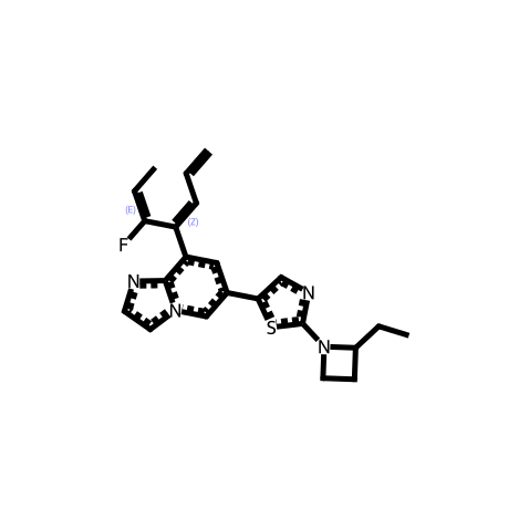 C=C/C=C(\C(F)=C/C)c1cc(-c2cnc(N3CCC3CC)s2)cn2ccnc12